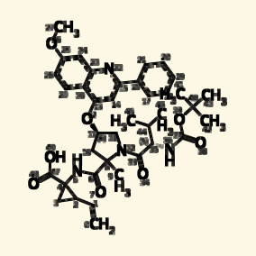 C=CC1CC1(NC(=O)C1(C)C[C@@H](Oc2cc(-c3ccccc3)nc3cc(OC)ccc23)CN1C(=O)[C@@H](NC(=O)OC(C)(C)C)C(C)C)C(=O)O